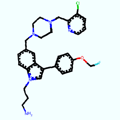 NCCCn1cc(-c2ccc(OCF)cc2)c2cc(CN3CCN(Cc4ncccc4Cl)CC3)ccc21